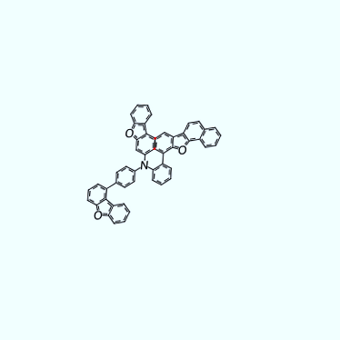 c1ccc(N(c2ccc(-c3cccc4oc5ccccc5c34)cc2)c2ccc3c(c2)oc2ccccc23)c(-c2cccc3c2oc2c4ccccc4ccc32)c1